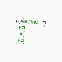 Cl.Cl.Cl.Cl.Cl.[MgH2].[Ti]